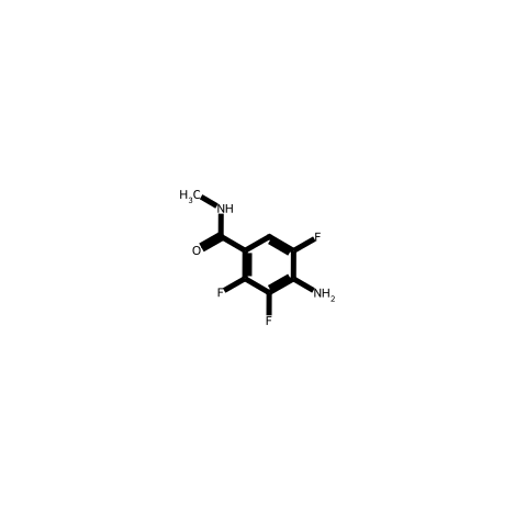 CNC(=O)c1cc(F)c(N)c(F)c1F